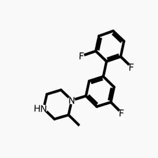 CC1CNCCN1c1cc(F)cc(-c2c(F)cccc2F)c1